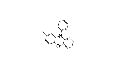 CC1=CC2C(C=C1)OC1=CCCC=C1N2C1=CC=CCC1